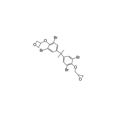 CC(C)(c1cc(Br)c(OCC2CO2)c(Br)c1)c1cc(Br)c(OC2COC2)c(Br)c1